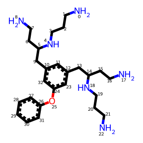 NCCCNC(CCN)Cc1cc(CC(CCN)NCCCN)cc(Oc2ccccc2)c1